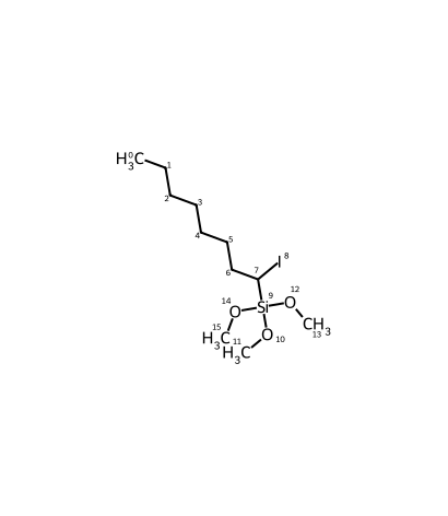 CCCCCCCC(I)[Si](OC)(OC)OC